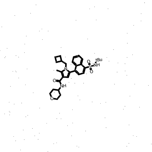 Cc1c(C(=O)NC2CCOCC2)cc(-c2ccc(S(=O)(=O)NC(C)(C)C)c3ccccc23)n1CC1CCC1